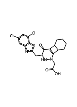 O=C(O)CN1NC(Cc2nc3cc(Cl)cc(Cl)c3s2)C(=O)C2=C1C1CCCCC21